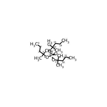 CCCC(C)(C)OP(=O)(OC(C)(C)CCC)OC(C)(C)CCC